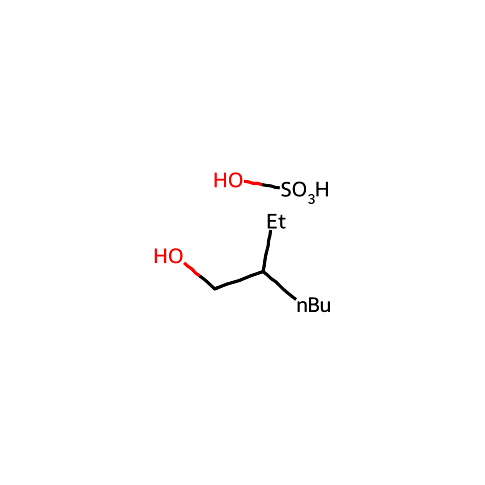 CCCCC(CC)CO.O=S(=O)(O)O